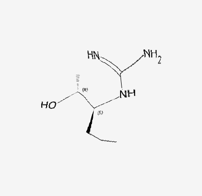 CC[C@H](NC(=N)N)[C@@H](C)O